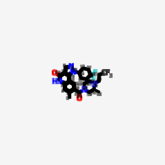 Cc1cc2[nH]c(=O)c3cnn(C4CCC(F)(F)CC4)c3c2cc1C(=O)N1CCN(CCC(F)(F)F)[C@@H](C)C1